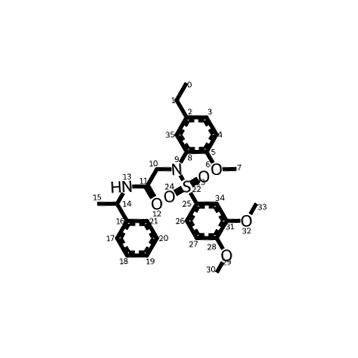 CCc1ccc(OC)c(N(CC(=O)NC(C)c2ccccc2)S(=O)(=O)c2ccc(OC)c(OC)c2)c1